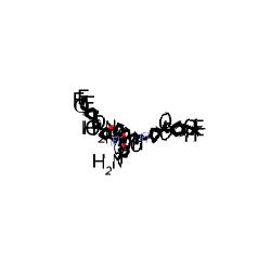 Nc1ccc(CC(CC(=O)/C=C/c2ccc(C(=O)Oc3ccc(OC(F)(F)F)cc3)cc2)(Cc2ccc(N)cc2)C(O)(O)C(=O)/C=C/c2ccc(C(=O)Oc3ccc(OC(F)(F)F)cc3)cc2)cc1